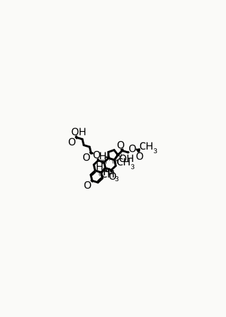 CC(=O)OCC(=O)[C@@]1(O)CC[C@H]2[C@@H]3C(OC(=O)CCCC(=O)O)CC4=CC(=O)C=C[C@]4(C)[C@H]3C(=O)C[C@@]21C